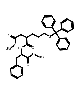 CC(C)(C)OC(=O)CC(CCCSC(c1ccccc1)(c1ccccc1)c1ccccc1)C(=O)NC(Cc1ccccc1)C(=O)OC(C)(C)C